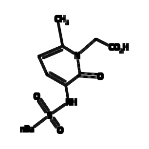 CCCCS(=O)(=O)Nc1ccc(C)n(CC(=O)O)c1=O